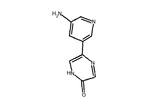 Nc1cncc(-c2c[nH]c(=O)cn2)c1